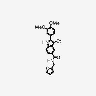 CCc1c(-c2ccc(OC)c(OC)c2)[nH]c2ccc(C(=O)NCc3ccco3)cc12